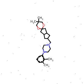 Cc1cccc(N2CCN(CC3CC4CC5(CC4C3)OCC(C)(C)CO5)CC2)c1C